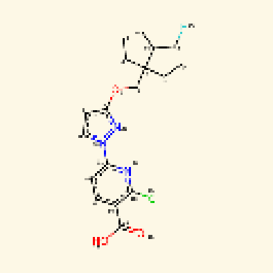 CCC(CC)(COc1ccn(-c2ccc(C(=O)O)c(Cl)n2)n1)C(C)CF